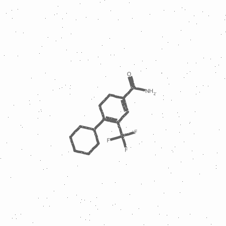 NC(=O)C1=CC(C(F)(F)F)=C(C2CCCCC2)CC1